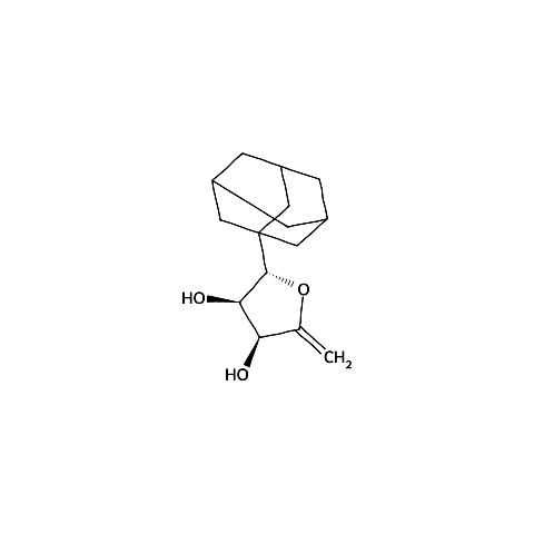 C=C1O[C@@H](C23CC4CC(CC(C4)C2)C3)[C@H](O)[C@@H]1O